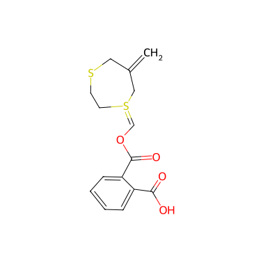 C=C1CSCCS(=COC(=O)c2ccccc2C(=O)O)C1